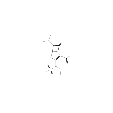 CC(O)C1C(=O)N2C(C(=O)O)=C(C(SN)S(C)(=O)=O)CC12